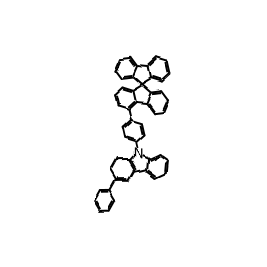 C1=C(c2ccccc2)CCc2c1c1ccccc1n2-c1ccc(-c2cccc3c2-c2ccccc2C32c3ccccc3-c3ccccc32)cc1